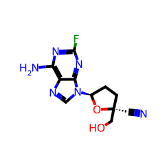 N#C[C@@]1(CO)CC[C@H](n2cnc3c(N)nc(F)nc32)O1